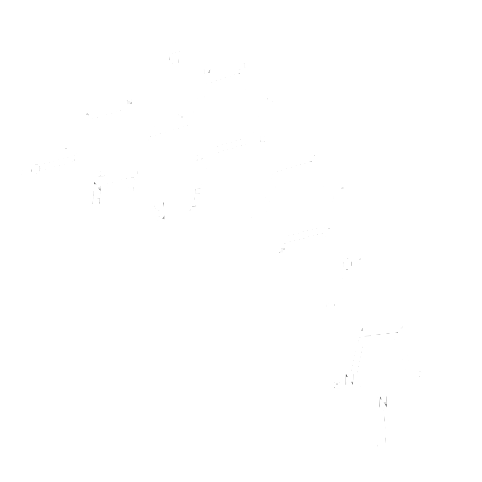 Cn1ccc(COc2ccc(-c3ccc(Cl)c(C4CCC(=O)NC4=O)c3F)cc2)n1